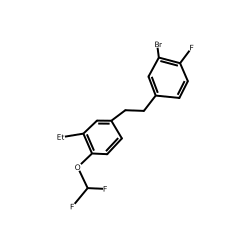 CCc1cc(CCc2ccc(F)c(Br)c2)ccc1OC(F)F